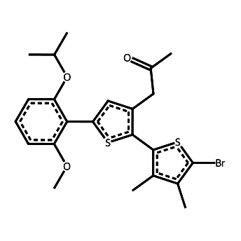 COc1cccc(OC(C)C)c1-c1cc(CC(C)=O)c(-c2sc(Br)c(C)c2C)s1